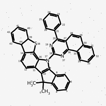 CC1(C)c2ccccc2-c2c1c1ccc3c(c1n2-c1nc(-c2ccccc2)c2ccc4ccccc4c2n1)SC1C=CC=CC31